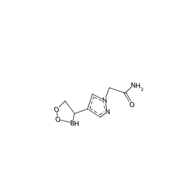 NC(=O)Cn1cc(C2BOOC2)cn1